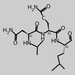 CC(C)CC[C@@H](C=O)NC(=O)[C@H](CCC(N)=O)NC(=O)[C@H](CC(N)=O)NC(C)C